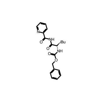 CC[C@H](C)[C@H](NC(=O)OCc1ccccc1)C(=O)NC(=O)c1ccccn1